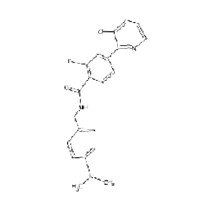 CN(C)c1ccc(CNC(=O)c2ccc(-c3ncccc3Cl)cc2F)cc1